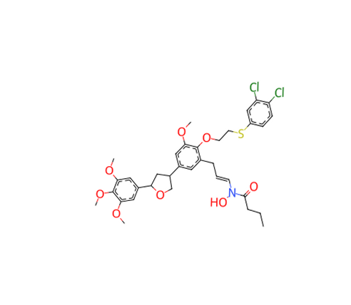 CCCC(=O)N(O)/C=C/Cc1cc(C2COC(c3cc(OC)c(OC)c(OC)c3)C2)cc(OC)c1OCCSc1ccc(Cl)c(Cl)c1